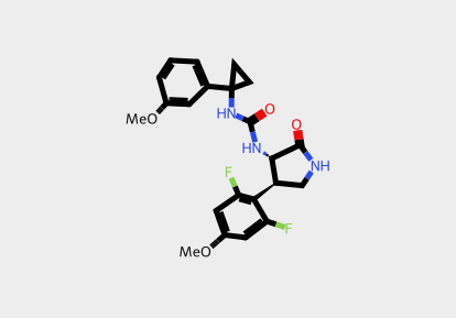 COc1cccc(C2(NC(=O)N[C@@H]3C(=O)NC[C@H]3c3c(F)cc(OC)cc3F)CC2)c1